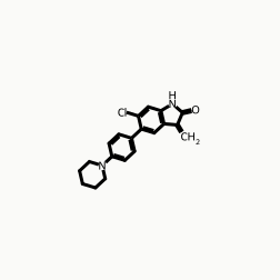 C=C1C(=O)Nc2cc(Cl)c(-c3ccc(N4CCCCC4)cc3)cc21